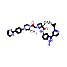 COC[C@@]1(C(=O)Nc2ccc3[nH]nc(-c4ccnc(C5CC5)c4)c3c2)CCN(CC(=O)N2CCN(c3ccc(-c4ncccn4)cc3)C[C@H]2C)C1